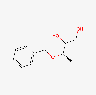 C[C@@H](OCc1ccccc1)C(O)CO